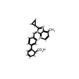 Cc1ccnc2c1nc(C1CC1)n2Cc1ccc(C2=CC=CCC2C(=O)O)cc1